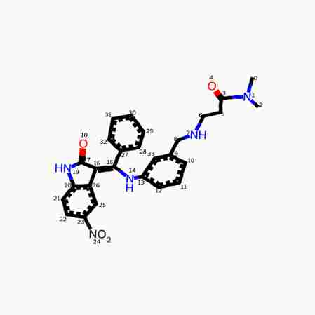 CN(C)C(=O)CCNCc1cccc(NC(=C2C(=O)Nc3ccc([N+](=O)[O-])cc32)c2ccccc2)c1